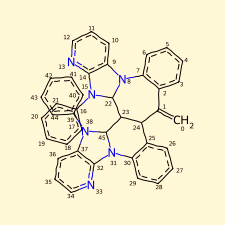 C=C1c2ccccc2N2c3cccnc3N(c3ccccc3)C2C2C1c1ccccc1N1c3ncccc3N(c3ccccc3)C21